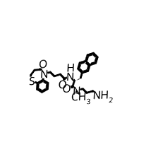 CN(CCCN)C(=O)[C@@H](Cc1ccc2ccccc2c1)NC(=O)CCCN1C(=O)CCSc2ccccc21